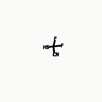 N#CC(F)(F)S